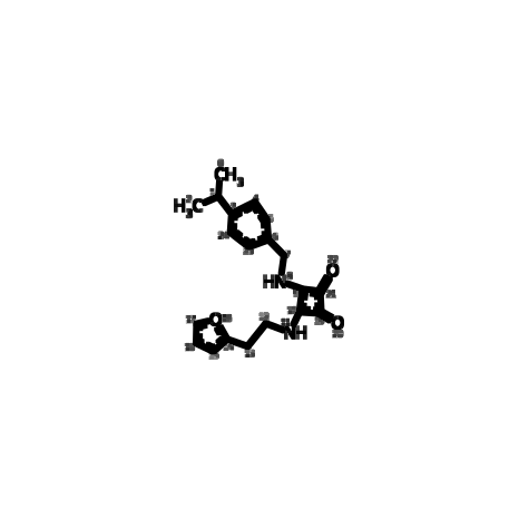 CC(C)c1ccc(CNc2c(NCCc3ccco3)c(=O)c2=O)cc1